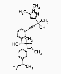 Cc1cc([C@](C)(O)C#Cc2cccc([C@@](O)(c3ccc(C(C)C)cc3)C3(C)CN(C)C3)c2)nn1C